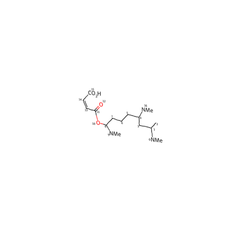 CNC(C)CC(CCCC(NC)OC(=O)/C=C\C(=O)O)NC